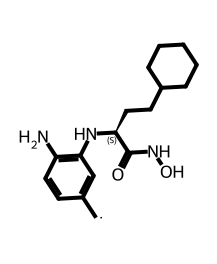 [CH2]c1ccc(N)c(N[C@@H](CCC2CCCCC2)C(=O)NO)c1